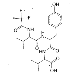 CC(C)C(NC(=O)C(Cc1ccc(O)cc1)NC(=O)C(NC(=O)C(F)(F)F)C(C)C)C(=O)O